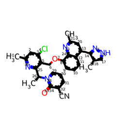 Cc1cc(Cl)c(COc2cccc3c(-c4n[nH]cc4C)cc(C)nc23)c(C(C)n2cccc(C#N)c2=O)n1